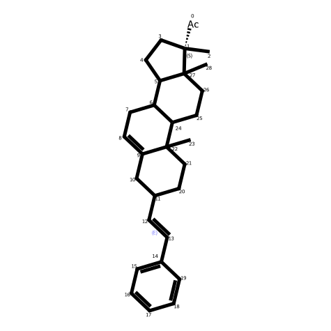 CC(=O)[C@@]1(C)CCC2C3CC=C4CC(/C=C/c5ccccc5)CCC4(C)C3CCC21C